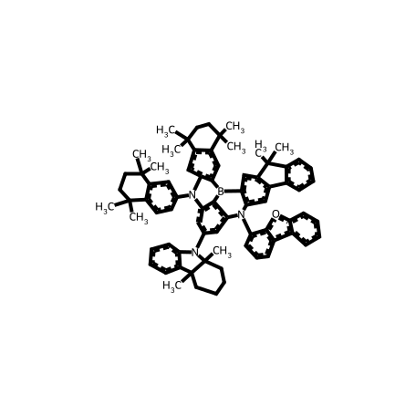 CC1(C)CCC(C)(C)c2cc(N3c4cc5c(cc4B4c6cc7c(cc6N(c6cccc8c6oc6ccccc68)c6cc(N8c9ccccc9C9(C)CCCCC89C)cc3c64)-c3ccccc3C7(C)C)C(C)(C)CCC5(C)C)ccc21